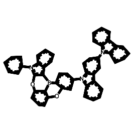 c1ccc(-n2c3c(c4ccccc42)B2c4ccc(-n5c6ccccc6c6cc(-n7c8ccccc8c8ccccc87)ccc65)cc4Oc4cccc(c42)O3)cc1